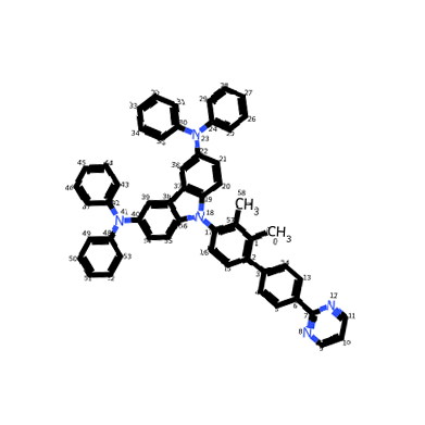 Cc1c(-c2ccc(-c3ncccn3)cc2)ccc(-n2c3ccc(N(c4ccccc4)c4ccccc4)cc3c3cc(N(c4ccccc4)c4ccccc4)ccc32)c1C